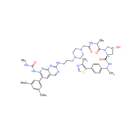 COc1cc(OC)cc(-c2cc3cnc(NCCCN4CCN(CC(=O)NC(C(=O)N5C[C@H](O)C[C@H]5C(=O)NC(C)c5ccc(-c6scnc6C)cc5)C(C)(C)C)CC4)nc3nc2NC(=O)NC(C)(C)C)c1